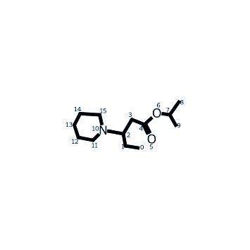 CCC(CC(=O)OC(C)C)N1CCCCC1